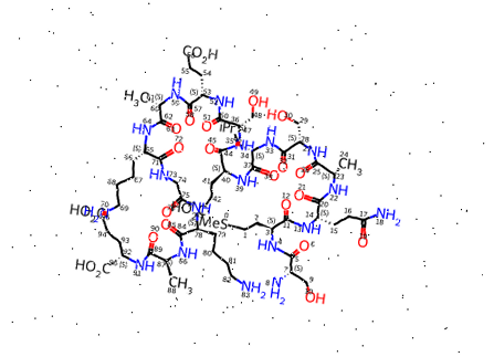 CSCC[C@H](NC(=O)[C@@H](N)CO)C(=O)N[C@@H](CCC(N)=O)C(=O)N[C@@H](C)C(=O)N[C@@H](CO)C(=O)N[C@@H](CC(C)C)C(=O)N[C@@H](CCC(=O)O)C(=O)N[C@@H](CO)C(=O)N[C@@H](CCC(=O)O)C(=O)N[C@@H](C)C(=O)N[C@@H](CCCCN)C(=O)NCC(=O)N[C@@H](CCCCN)C(=O)N[C@@H](C)C(=O)N[C@@H](CCC(=O)O)C(=O)O